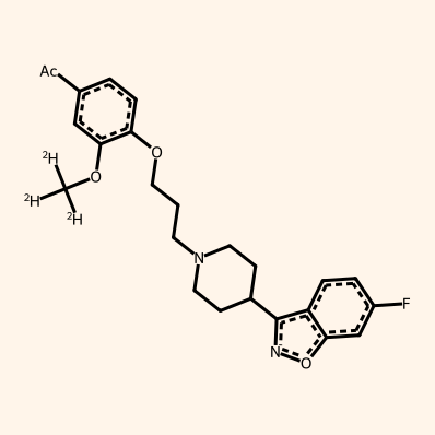 [2H]C([2H])([2H])Oc1cc(C(C)=O)ccc1OCCCN1CCC(c2noc3cc(F)ccc23)CC1